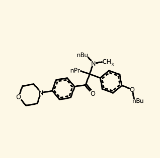 CCCCOc1ccc(C(CCC)(C(=O)c2ccc(N3CCOCC3)cc2)N(C)CCCC)cc1